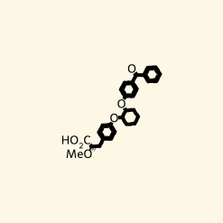 CO[C@@H](Cc1ccc(OC2CCCCC2Oc2ccc(C(=O)c3ccccc3)cc2)cc1)C(=O)O